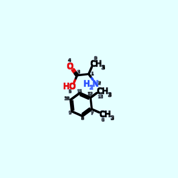 CC(N)C(=O)O.Cc1ccccc1C